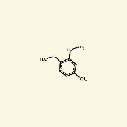 CNc1cc(C)ccc1OC